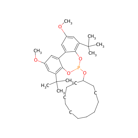 COc1cc(C(C)(C)C)c2op(OC3CCCCCCCCCCC3)oc3c(C(C)(C)C)cc(OC)cc3c2c1